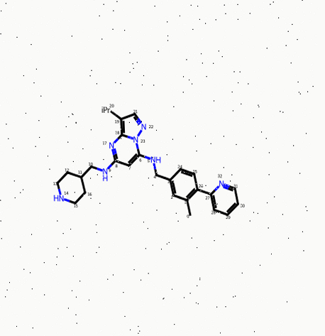 Cc1cc(CNc2cc(NCC3CCNCC3)nc3c(C(C)C)cnn23)ccc1-c1ccccn1